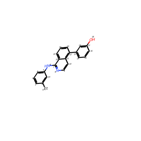 CCc1cccc(Nc2nccc3c(-c4cccc(O)c4)cccc23)c1